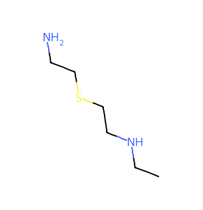 CCNCCSCCN